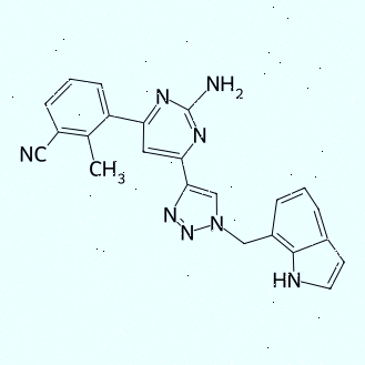 Cc1c(C#N)cccc1-c1cc(-c2cn(Cc3cccc4cc[nH]c34)nn2)nc(N)n1